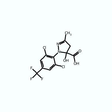 CC1=NN(c2c(Cl)cc(C(F)(F)F)cc2Cl)C(O)(C(=O)O)C1